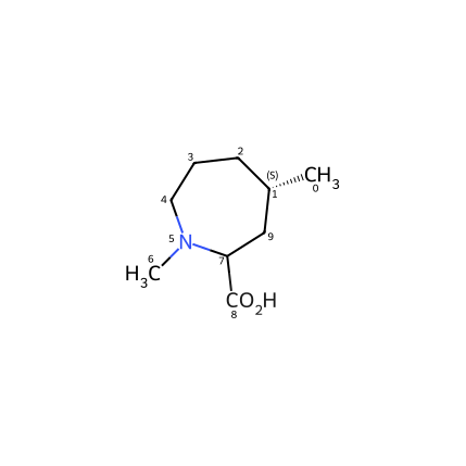 C[C@H]1CCCN(C)C(C(=O)O)C1